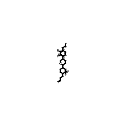 C=CCCC1CCC(C2CCC(c3ccc(CCC)c(F)c3F)CO2)CC1(F)F